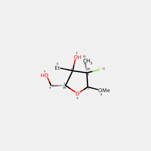 CCC1(O)[C@@H](CO)OC(OC)[C@]1(C)F